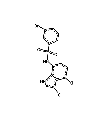 O=S(=O)(Nc1ccc(Cl)c2c(Cl)c[nH]c12)c1cccc(Br)c1